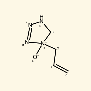 C=CC[N+]1([O-])CNN=N1